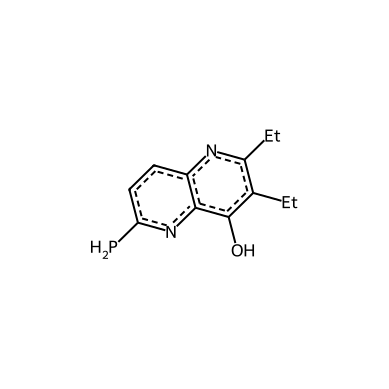 CCc1nc2ccc(P)nc2c(O)c1CC